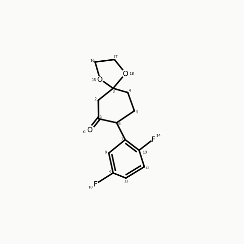 O=C1CC2(CCC1c1cc(F)ccc1F)OCCO2